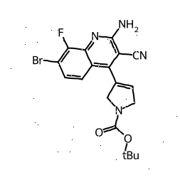 CC(C)(C)OC(=O)N1CC=C(c2c(C#N)c(N)nc3c(F)c(Br)ccc23)C1